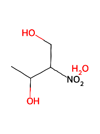 CC(O)C(CO)[N+](=O)[O-].O